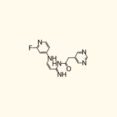 N=C(/C=C\Nc1ccnc(F)c1)NC(=O)Cc1cncnc1